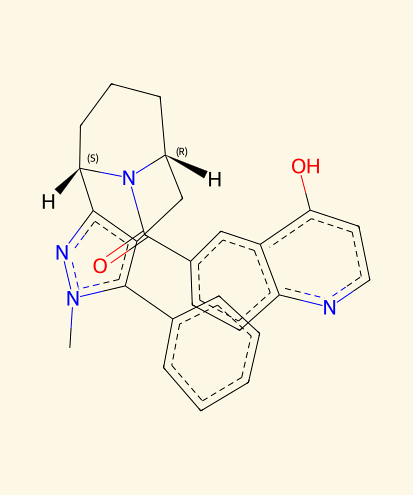 Cn1nc2c(c1-c1ccccc1)C[C@H]1CCC[C@@H]2N1C(=O)c1ccc2nccc(O)c2c1